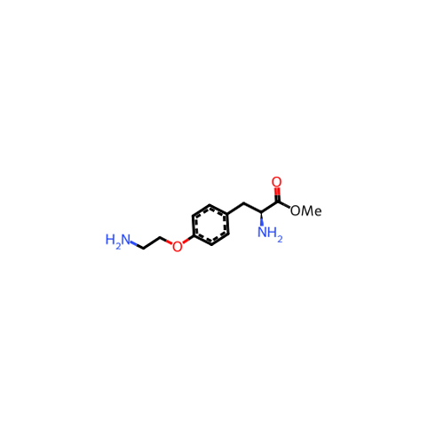 COC(=O)[C@@H](N)Cc1ccc(OCCN)cc1